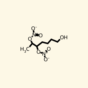 CC(O[N+](=O)[O-])C(CCCCO)O[N+](=O)[O-]